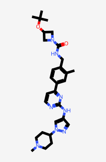 Cc1cc(-c2ccnc(Nc3cnn(C4CCN(C)CC4)c3)n2)ccc1CNC(=O)N1CC(OC(C)(C)C)C1